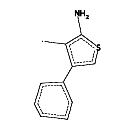 [CH2]c1c(-c2ccccc2)csc1N